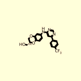 OC[C@@H]1COc2cc(Nc3cc(-c4ccc(C(F)(F)F)cc4)ncn3)ccc2O1